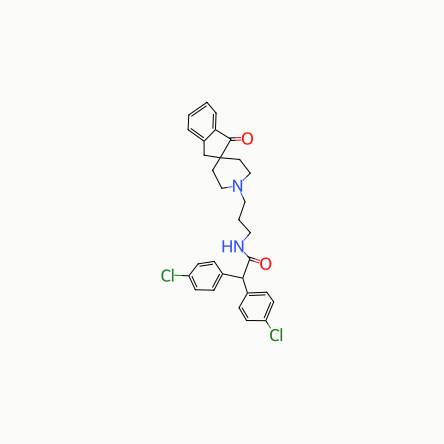 O=C(NCCCN1CCC2(CC1)Cc1ccccc1C2=O)C(c1ccc(Cl)cc1)c1ccc(Cl)cc1